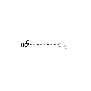 CCCCCC/C=C/CCCCCCCCCCCC(=O)O